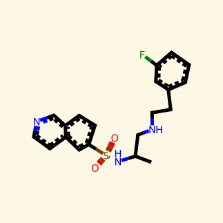 CC(CNCCc1cccc(F)c1)NS(=O)(=O)c1ccc2cnccc2c1